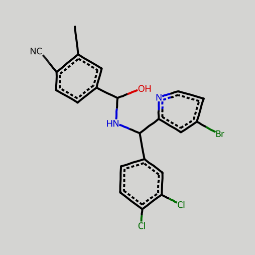 Cc1cc(C(O)NC(c2ccc(Cl)c(Cl)c2)c2cc(Br)ccn2)ccc1C#N